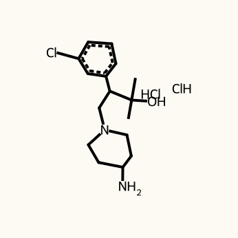 CC(C)(O)C(CN1CCC(N)CC1)c1cccc(Cl)c1.Cl.Cl